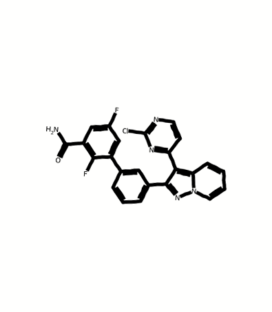 NC(=O)c1cc(F)cc(-c2cccc(-c3nn4ccccc4c3-c3ccnc(Cl)n3)c2)c1F